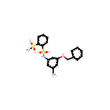 Cc1cc(NS(=O)(=O)c2ccccc2S(C)(=O)=O)cc(OCc2ccccc2)c1